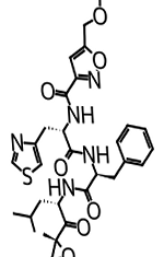 COCc1cc(C(=O)N[C@@H](Cc2cscn2)C(=O)N[C@@H](Cc2ccccc2)C(=O)N[C@@H](CC(C)C)C(=O)[C@@]2(C)CO2)no1